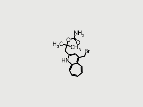 CC(C)(CC1=CC(CBr)=C2C=CC=CC=C2N1)OC(N)=O